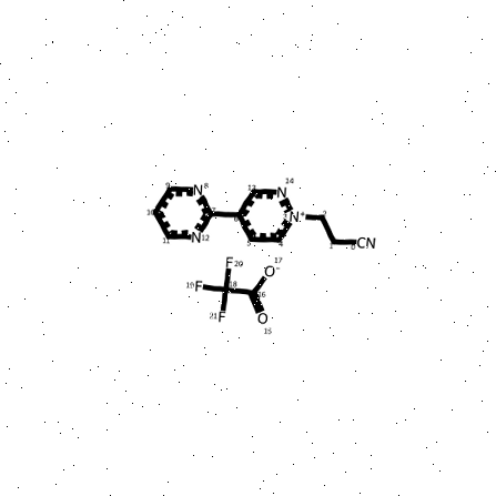 N#CCC[n+]1ccc(-c2ncccn2)cn1.O=C([O-])C(F)(F)F